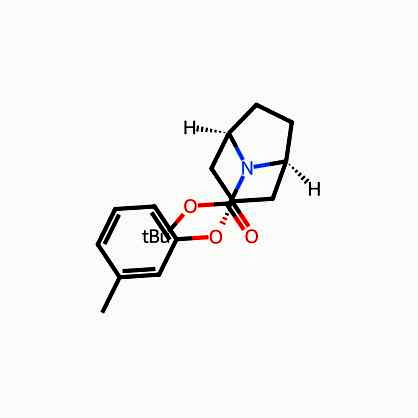 Cc1cccc(O[C@@H]2C[C@H]3CC[C@@H](C2)N3C(=O)OC(C)(C)C)c1